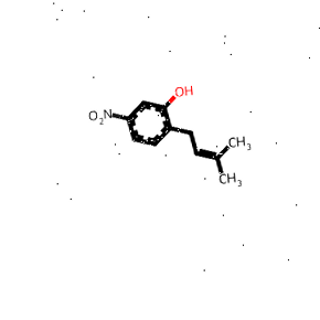 CC(C)=CCc1ccc([N+](=O)[O-])cc1O